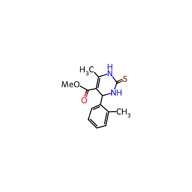 COC(=O)C1=C(C)NC(=S)NC1c1ccccc1C